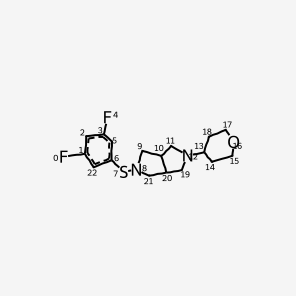 Fc1cc(F)cc(SN2CC3CN(C4CCOCC4)CC3C2)c1